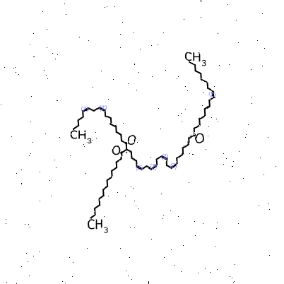 CCCCC/C=C\C/C=C\CCCCCCCC(=O)[C](CCC/C=C\C/C=C\C/C=C\C/C=C\CCCCCC(=O)CCCCCCC/C=C\CCCCCCCC)C(=O)CCCCCCCCCCCCCCC